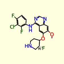 COc1cc2ncnc(Nc3ccc(F)c(Cl)c3F)c2cc1OC1CCNC[C@H]1F